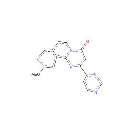 COc1ccc2ccn3c(=O)cc(-c4ccncn4)nc3c2c1